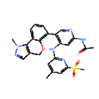 CC(=O)Nc1cc(Nc2cc(C)cc(S(C)(=O)=O)n2)c(-c2cccc3c2OCc2cnn(C)c2-3)cn1